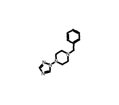 c1ccc(CN2CCN(n3cncn3)CC2)cc1